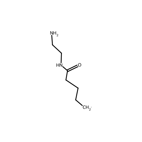 [CH2]CCCC(=O)NCCN